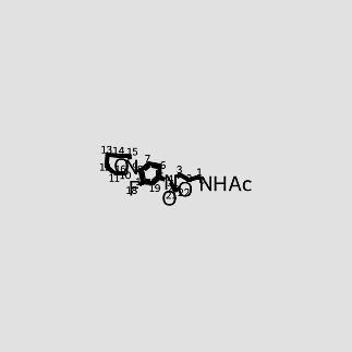 CC(=O)NCC1CN(c2ccc(N3CC4CCC(C3)O4)c(F)c2)C(=O)O1